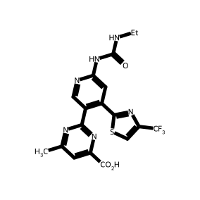 CCNC(=O)Nc1cc(-c2nc(C(F)(F)F)cs2)c(-c2nc(C)cc(C(=O)O)n2)cn1